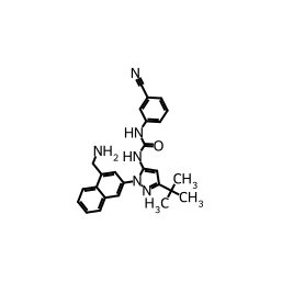 CC(C)(C)c1cc(NC(=O)Nc2cccc(C#N)c2)n(-c2cc(CN)c3ccccc3c2)n1